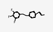 CC=Cc1ccc(CCc2cc(F)c(F)c(F)c2)cc1